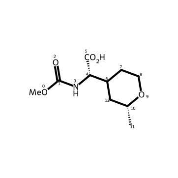 COC(=O)N[C@H](C(=O)O)C1CCO[C@H](C)C1